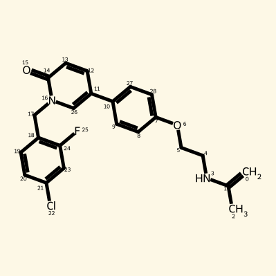 C=C(C)NCCOc1ccc(-c2ccc(=O)n(Cc3ccc(Cl)cc3F)c2)cc1